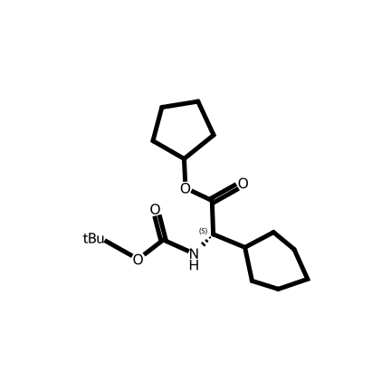 CC(C)(C)OC(=O)N[C@H](C(=O)OC1CCCC1)C1CCCCC1